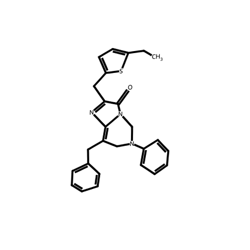 CCc1ccc(CC2=NC3=C(Cc4ccccc4)CN(c4ccccc4)CN3C2=O)s1